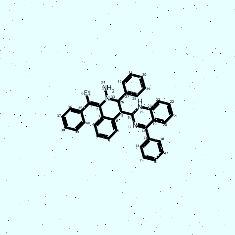 CC/C(=C1/c2ccccc2C(C2N=C(c3ccccc3)c3ccccc3N2)C(c2ccccc2)N1N)c1ccccc1